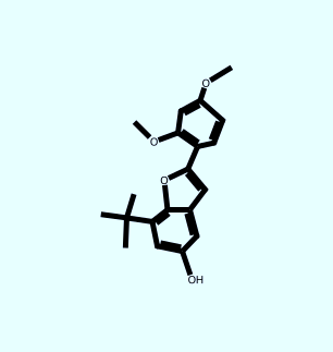 COc1ccc(-c2cc3cc(O)cc(C(C)(C)C)c3o2)c(OC)c1